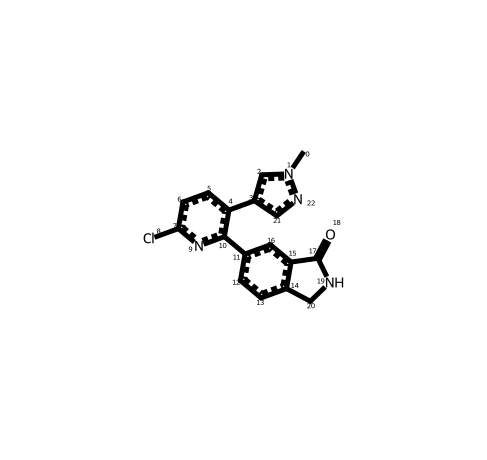 Cn1cc(-c2ccc(Cl)nc2-c2ccc3c(c2)C(=O)NC3)cn1